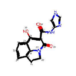 O=C(Nc1c[nH]cn1)c1c(O)c2cccc3c2n(c1=O)CC3